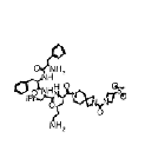 CC(C)C[C@@H](NC(=O)[C@@H](Cc1ccccc1)NC(=O)[C@H](N)Cc1ccccc1)C(=O)N[C@H](CCCCN)C(=O)N1CCC2(CC1)CN(C(=O)N1CC(S(C)(=O)=O)C1)C2